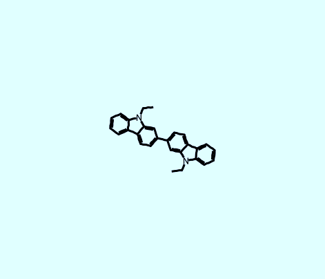 CCn1c2ccccc2c2ccc(-c3ccc4c5ccccc5n(CC)c4c3)cc21